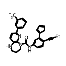 CCC#Cc1ccc(NC(=O)N2CCCNc3ccc(-c4cccc(C(F)(F)F)c4)nc32)cc1C1=CC=CC1